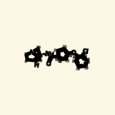 O=C(N[C@@H]1C[C@@H]2CCN(C2)C1)c1ccc(Oc2cccnc2Cl)cc1